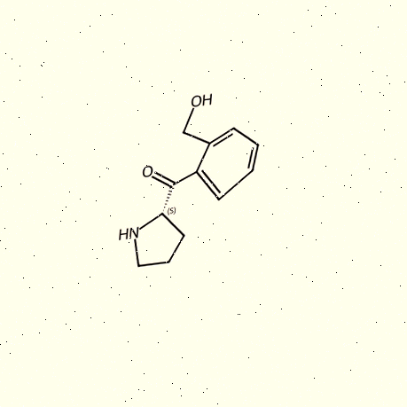 O=C(c1ccccc1CO)[C@@H]1CCCN1